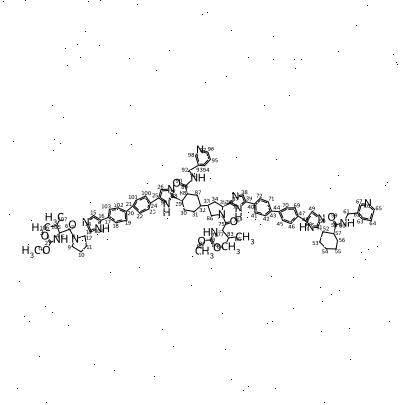 COC(=O)N[C@H](C(=O)N1CCC[C@H]1c1ncc(-c2ccc(-c3ccc(-c4cnc([C@@H]5CCC(C6C[C@@H](c7ncc(-c8ccc(-c9ccc(-c%10cnc([C@H]%11CCCC[C@@H]%11C(=O)NCc%11cccnc%11)[nH]%10)cc9)cc8)[nH]7)N(C(=O)[C@@H](NC(=O)OC)C(C)C)C6)C[C@@H]5C(=O)NCc5cccnc5)[nH]4)cc3)cc2)[nH]1)C(C)C